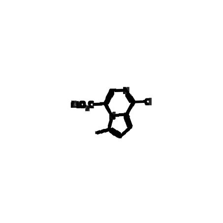 CCOC(=O)c1cnc(Cl)c2ccc(C)n12